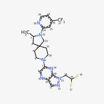 CC1CC2(CCN(c3cnc4cnn(CC(F)F)c4n3)CC2)CN1c1cc(C(F)(F)F)ccn1